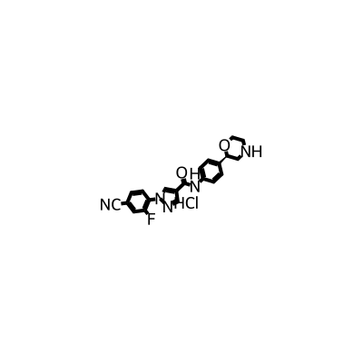 Cl.N#Cc1ccc(-n2cc(C(=O)Nc3ccc([C@@H]4CNCCO4)cc3)cn2)c(F)c1